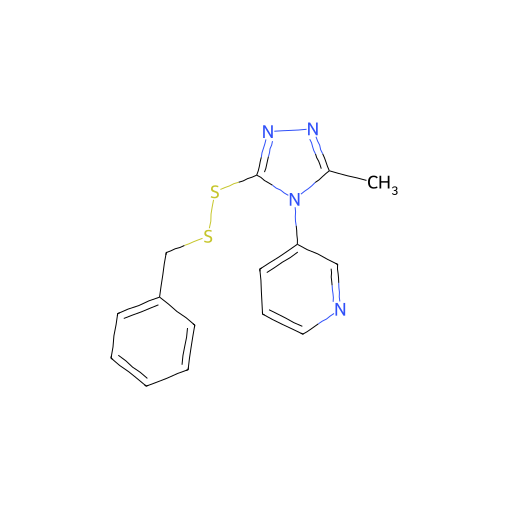 Cc1nnc(SSCc2ccccc2)n1-c1cccnc1